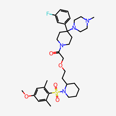 COc1cc(C)c(S(=O)(=O)N2CCCCC2CCOCC(=O)N2CCC(c3cccc(F)c3)(N3CCN(C)CC3)CC2)c(C)c1